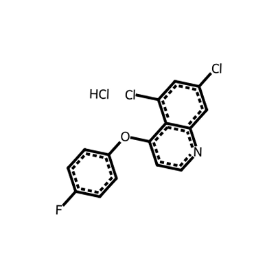 Cl.Fc1ccc(Oc2ccnc3cc(Cl)cc(Cl)c23)cc1